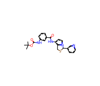 CC(C)(C)OC(=O)Nc1cccc(C(=O)Nc2ccn3c2CSC3c2cccnc2)c1